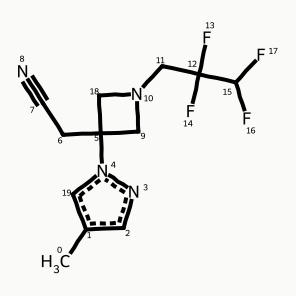 Cc1cnn(C2(CC#N)CN(CC(F)(F)C(F)F)C2)c1